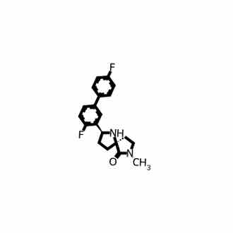 CN1CC[C@@]2(CC[C@@H](c3cc(-c4ccc(F)cc4)ccc3F)N2)C1=O